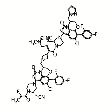 C=C(F)C(=O)N1CCN(c2nc(=O)n3c4c(c(-c5ccc(F)cc5F)c(Cl)cc24)OCC3CN2CC(/C(=C\CN(C)C)C(=O)N3CCN(c4nc(=O)n5c6c(c(-c7ccc(F)cc7F)c(Cl)cc46)OCC5Cn4cccn4)C[C@@H]3CC#N)C2)C[C@@H]1CC#N